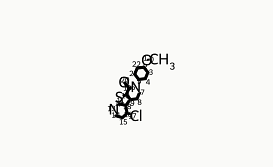 COc1ccc(-n2ccc3c(sc4nccc(Cl)c43)c2=O)cc1